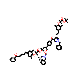 Cc1cc(CC[C@H]2CN(Cc3ccccc3)CC2C(=O)c2ccc(C(COCN(Cc3ccccc3)C[Si](C)(C)C)CC(C)(C)OC(=O)C(C)(C)Oc3c(C)cc(CC/C=C/C(=O)c4ccccc4)cc3C)cc2)cc(C)c1OC(C)(C)C(=O)OC(C)(C)C